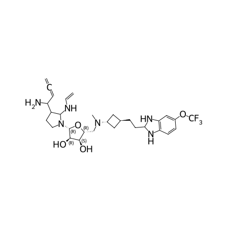 C=C=CC(N)C1CCN([C@@H]2O[C@H](CN(C)[C@H]3C[C@H](CCC4Nc5ccc(OC(F)(F)F)cc5N4)C3)[C@@H](O)[C@H]2O)C1NC=C